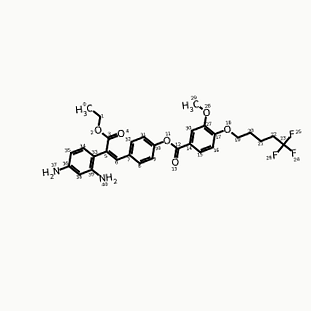 CCOC(=O)C(=Cc1ccc(OC(=O)c2ccc(OCCCCC(F)(F)F)c(OC)c2)cc1)c1ccc(N)cc1N